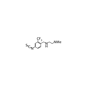 CNCCNCc1ccc(N=C=S)cc1C(F)(F)F